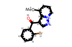 COc1cccn2ncc(C(=O)c3ccccc3Br)c12